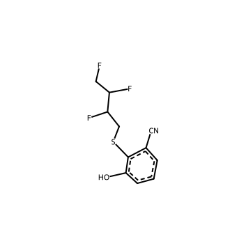 N#Cc1cccc(O)c1SCC(F)C(F)CF